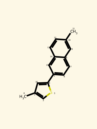 Cc1csc(-c2ccc3cc(C)ccc3c2)c1